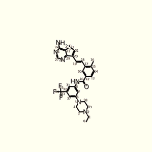 CCN1CCN(c2cc(NC(=O)c3ccc(C)c(C=Cc4csc5c(N)ncnc45)c3)cc(C(F)(F)F)c2)CC1